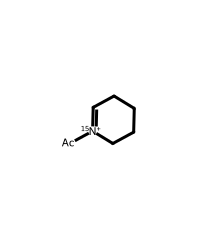 CC(=O)[15N+]1=CCCCC1